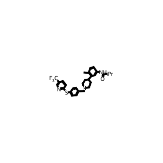 Cc1ccc(NC(=O)C(C)C)cc1C1CCN(Cc2ccc(Sc3ccc(C(F)(F)F)cn3)cc2)CC1